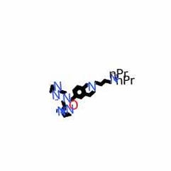 CCCN(CCC)CCCCN1CCc2cc(C(=O)N(Cc3nccn3C)Cc3nccn3C)ccc2C1